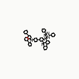 c1ccc(-c2ccc(N(c3ccc(-c4ccc5c(c4)-c4nc6ccccc6c6cccc(c46)N5c4nc(-c5ccccc5)nc(-c5ccccc5)n4)cc3)c3ccccc3-c3ccccc3)cc2)cc1